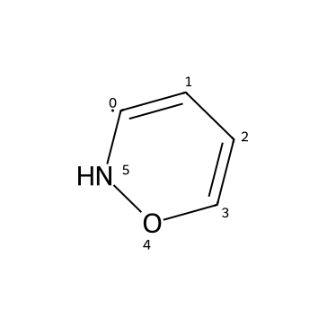 [C]1=CC=CON1